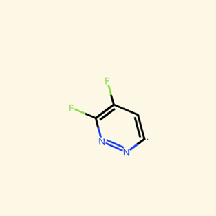 Fc1c[c]nnc1F